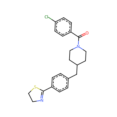 O=C(c1ccc(Cl)cc1)N1CCC(Cc2ccc(C3=NCCS3)cc2)CC1